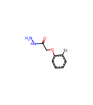 CCc1ccccc1OCC(=O)NN